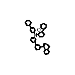 c1ccc(-c2ccc(N(c3cccc(-c4cccc(-c5cccc6ccccc56)c4)c3)c3cccc4c3oc3ccccc34)cc2)cc1